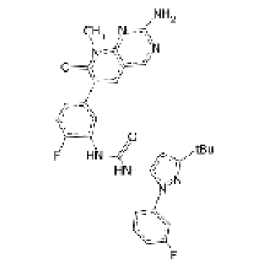 Cn1c(=O)c(-c2ccc(F)c(NC(=O)Nc3cc(C(C)(C)C)nn3-c3cccc(F)c3)c2)cc2cnc(N)nc21